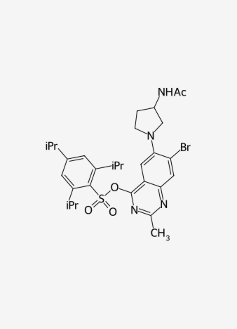 CC(=O)NC1CCN(c2cc3c(OS(=O)(=O)c4c(C(C)C)cc(C(C)C)cc4C(C)C)nc(C)nc3cc2Br)C1